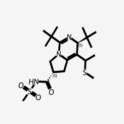 CSC(C)C1=C2C[C@H](C(=O)NS(C)(=O)=O)CN2C(C(C)(C)C)=N[C@H]1C(C)(C)C